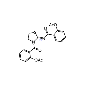 CC(=O)Oc1ccccc1C(=O)/N=C1\SCCN1C(=O)c1ccccc1OC(C)=O